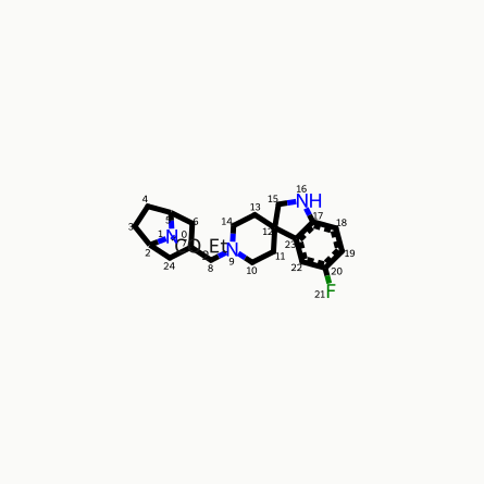 CCOC(=O)N1C2CCC1CC(CN1CCC3(CC1)CNc1ccc(F)cc13)C2